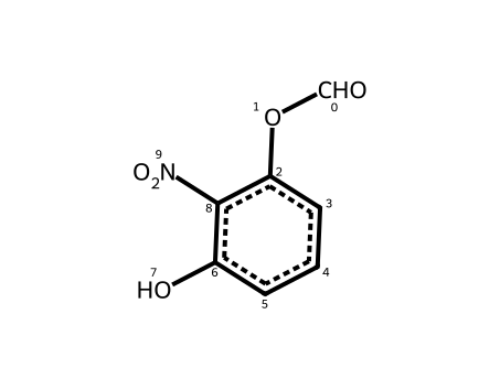 O=COc1cccc(O)c1[N+](=O)[O-]